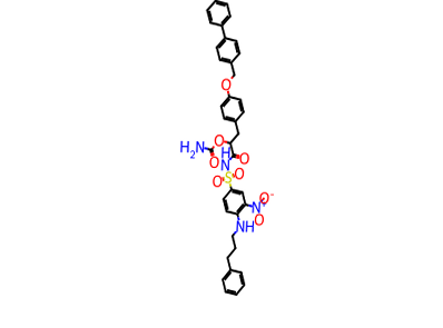 NC(=O)OC(Cc1ccc(OCc2ccc(-c3ccccc3)cc2)cc1)C(=O)NS(=O)(=O)c1ccc(NCCCc2ccccc2)c([N+](=O)[O-])c1